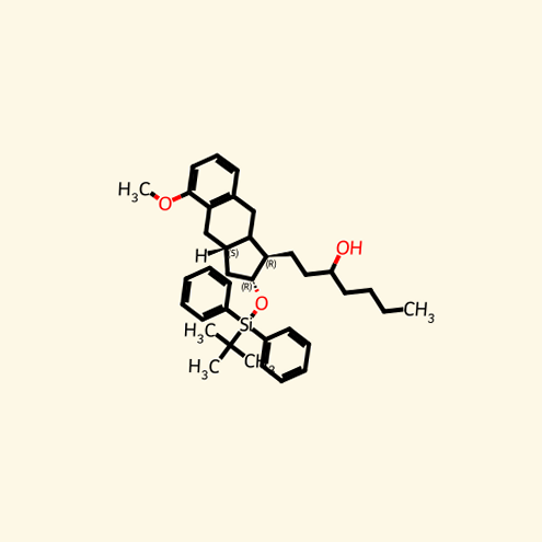 CCCCC(O)CC[C@@H]1C2Cc3cccc(OC)c3C[C@H]2C[C@H]1O[Si](c1ccccc1)(c1ccccc1)C(C)(C)C